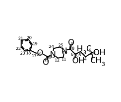 CC(C)(O)CC[C@@H](O)C(=O)N1CCN(C(=O)OCc2ccccc2)CC1